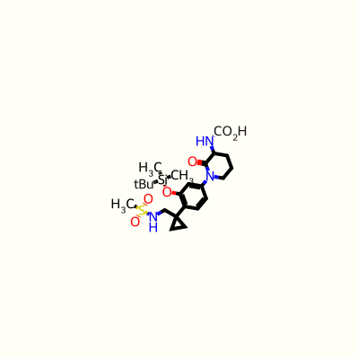 CC(C)(C)[Si](C)(C)Oc1cc(N2CCCC(NC(=O)O)C2=O)ccc1C1(CNS(C)(=O)=O)CC1